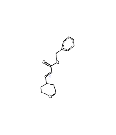 O=C(/C=C/C1CCOCC1)OCc1ccccc1